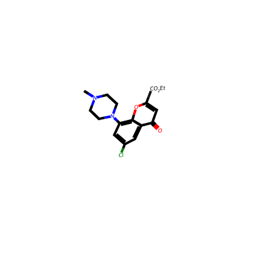 CCOC(=O)c1cc(=O)c2cc(Cl)cc(N3CCN(C)CC3)c2o1